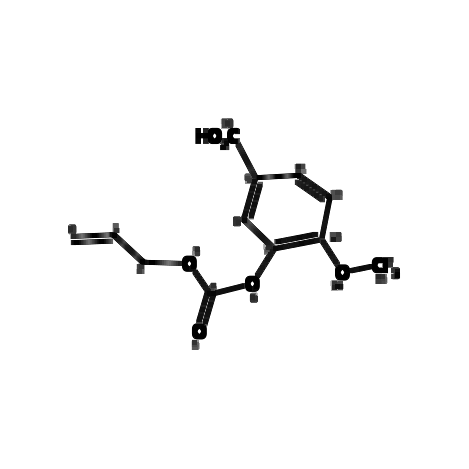 C=CCOC(=O)Oc1cc(C(=O)O)ccc1OC(F)(F)F